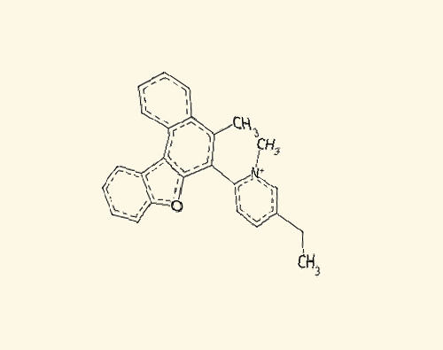 CCc1ccc(-c2c(C)c3ccccc3c3c2oc2ccccc23)[n+](C)c1